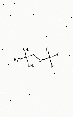 C[N+](C)(C)CSC(F)(F)F